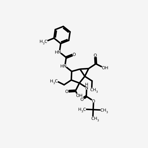 CCC1C(NC(=O)Nc2ccccc2C)C2C(C(=O)O)C2(CC)C1(NC(=O)OC(C)(C)C)C(=O)O